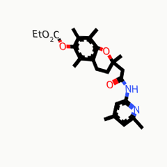 CCOC(=O)Oc1c(C)c(C)c2c(c1C)CCC(C)(CC(=O)Nc1cc(C)cc(C)n1)O2